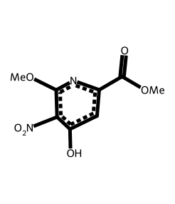 COC(=O)c1cc(O)c([N+](=O)[O-])c(OC)n1